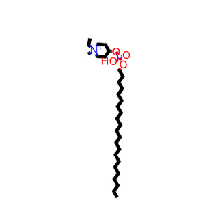 CCCCCCCCCCCCCCCCCCCCCCOP(=O)(O)OC1CC[N+](C)(CC)CC1